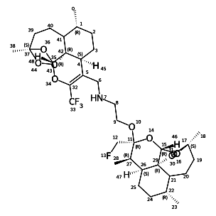 C[C@@H]1CC[C@H]2C(CNCCO[C@@]3(CF)O[C@@H]4O[C@]5(C)CCC6[C@H](C)CC[C@@H]([C@H]3C)[C@]64OO5)=C(C(F)(F)F)O[C@@H]3O[C@]4(C)CCC1[C@]32OO4